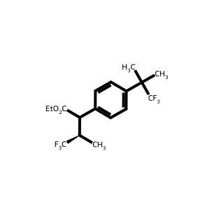 CCOC(=O)C(c1ccc(C(C)(C)C(F)(F)F)cc1)[C@@H](C)C(F)(F)F